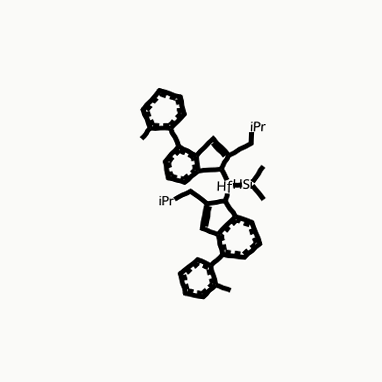 Cc1ccccc1-c1cccc2c1C=C(CC(C)C)[CH]2[Hf]([CH]1C(CC(C)C)=Cc2c(-c3ccccc3C)cccc21)[SiH](C)C